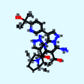 CC(=O)c1c([C@H]2C[C@H]3CC[C@@H](C2)N3C(=O)c2cn[nH]c2)nc2c(-c3ccc(C(C)(C)O)nc3)cnn2c1N